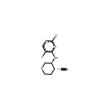 N#C[C@@H]1CCOC[C@H]1Nc1nc(Cl)ncc1F